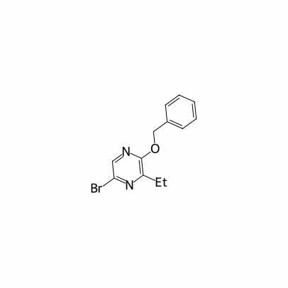 CCc1nc(Br)cnc1OCc1ccccc1